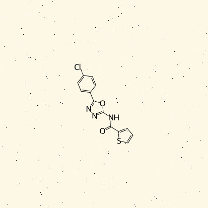 O=C(Nc1nnc(-c2ccc(Cl)cc2)o1)c1cccs1